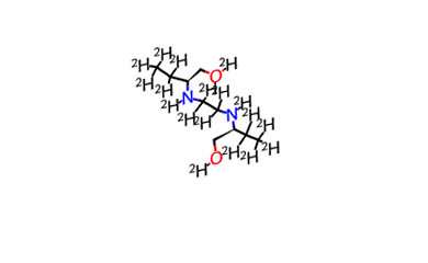 [2H]OC[C@@H](N([2H])C([2H])([2H])C([2H])([2H])N([2H])[C@H](CO[2H])C([2H])([2H])C([2H])([2H])[2H])C([2H])([2H])C([2H])([2H])[2H]